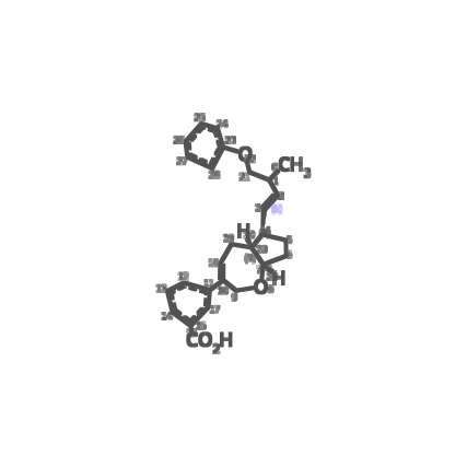 CC(/C=C/[C@H]1CC[C@@H]2OCC(c3cccc(C(=O)O)c3)=CC[C@@H]21)COc1ccccc1